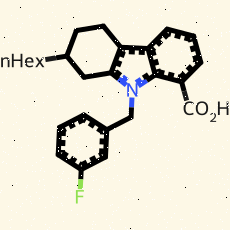 CCCCCCC1CCc2c(n(Cc3cccc(F)c3)c3c(C(=O)O)cccc23)C1